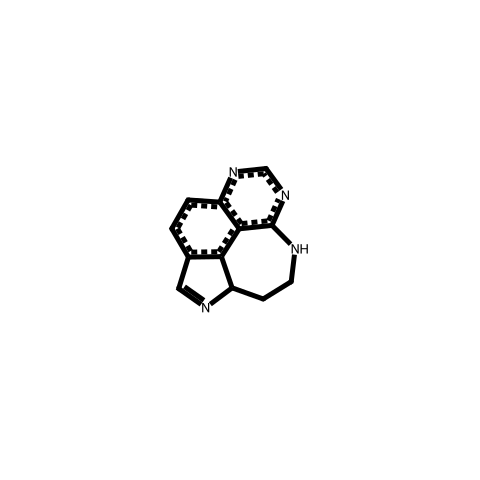 C1=NC2CCNc3ncnc4ccc1c2c34